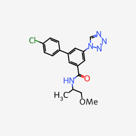 COCC(C)NC(=O)c1cc(-c2ccc(Cl)cc2)cc(-n2cnnn2)c1